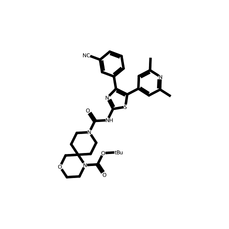 Cc1cc(-c2sc(NC(=O)N3CCC4(CC3)COCCN4C(=O)OC(C)(C)C)nc2-c2cccc(C#N)c2)cc(C)n1